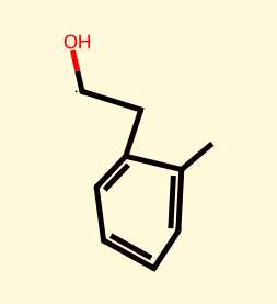 Cc1ccccc1C[CH]O